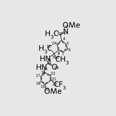 CO/N=C(\C)c1cccc(C(C)(C)NC(=O)Nc2ccc(OC)c(C(F)(F)F)c2)c1